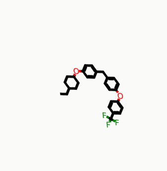 CCC1CCC(Oc2ccc(Cc3ccc(Oc4ccc(C(F)(F)F)cc4)cc3)cc2)CC1